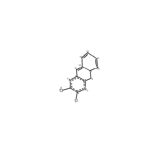 Clc1nc2c(nc1Cl)CC1C=CC=CC1=C2